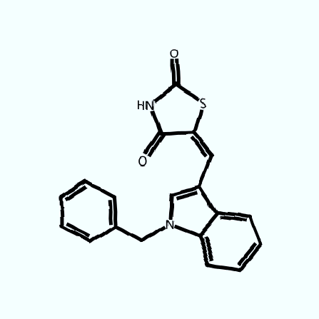 O=C1NC(=O)C(=Cc2cn(Cc3ccccc3)c3ccccc23)S1